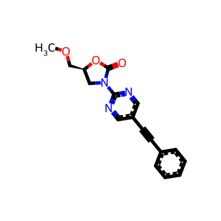 COC[C@@H]1CN(c2ncc(C#Cc3ccccc3)cn2)C(=O)O1